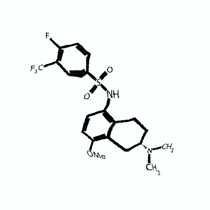 COc1ccc(NS(=O)(=O)c2ccc(F)c(C(F)(F)F)c2)c2c1C[C@@H](N(C)C)CC2